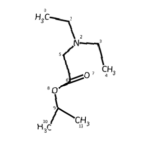 CCN(CC)CC(=O)OC(C)C